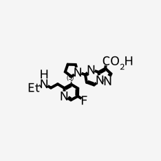 CCNCCc1ncc(F)cc1[C@@H]1CCCN1c1ccn2ncc(C(=O)O)c2n1